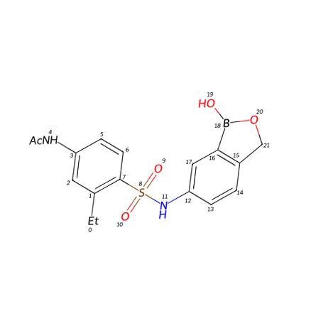 CCc1cc(NC(C)=O)ccc1S(=O)(=O)Nc1ccc2c(c1)B(O)OC2